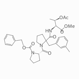 COC(=O)[C@@H](NC(=O)C1(Cc2cccc(C)c2)CCCN1C(=O)[C@@H]1CCCN1C(=O)OCc1ccccc1)[C@@H](C)OC(C)=O